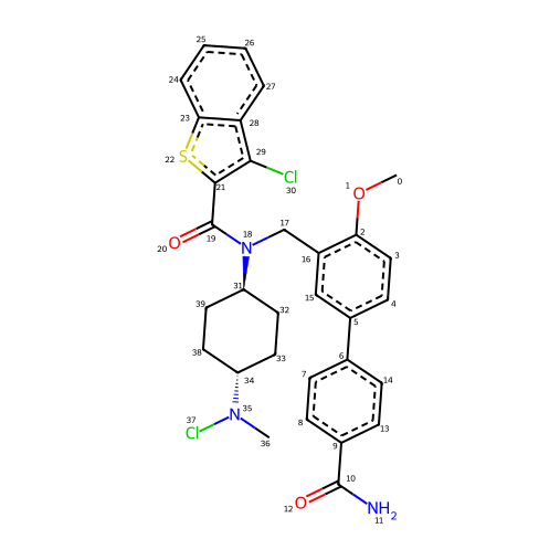 COc1ccc(-c2ccc(C(N)=O)cc2)cc1CN(C(=O)c1sc2ccccc2c1Cl)[C@H]1CC[C@H](N(C)Cl)CC1